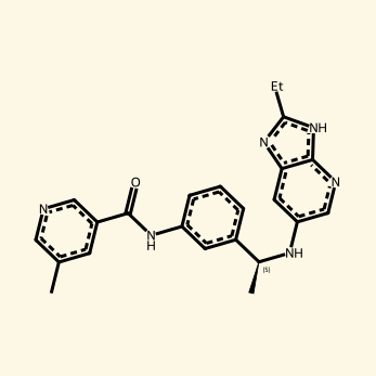 CCc1nc2cc(N[C@@H](C)c3cccc(NC(=O)c4cncc(C)c4)c3)cnc2[nH]1